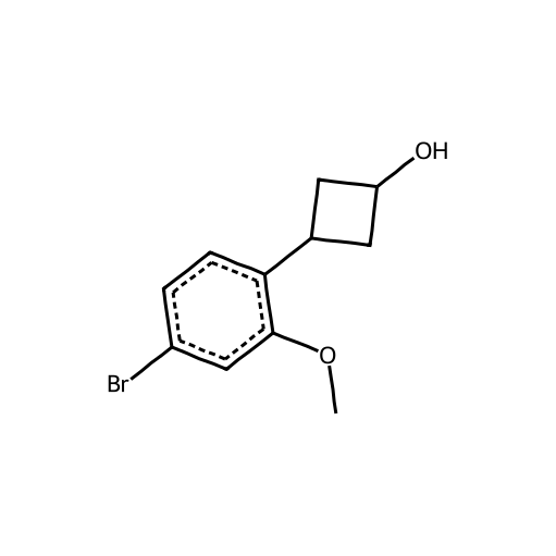 COc1cc(Br)ccc1C1CC(O)C1